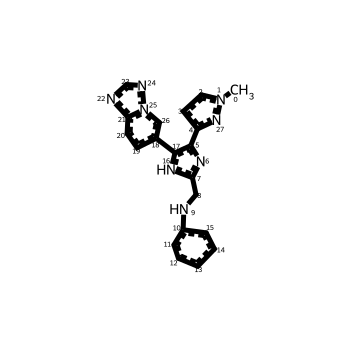 Cn1ccc(-c2nc(CNc3ccccc3)[nH]c2-c2ccc3ncnn3c2)n1